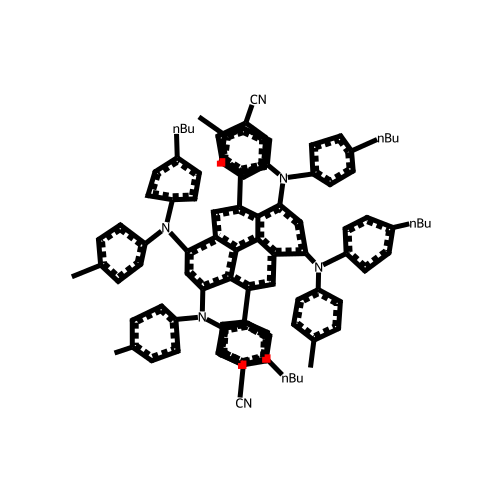 CCCCc1ccc(N(c2ccc(C)cc2)c2cc(N(c3ccc(C)cc3)c3ccc(CCCC)cc3)c3c(-c4ccc(C#N)cc4)cc4c(N(c5ccc(C)cc5)c5ccc(CCCC)cc5)cc(N(c5ccc(C)cc5)c5ccc(CCCC)cc5)c5c(-c6ccc(C#N)cc6)cc2c3c45)cc1